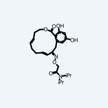 CC(C)N(C(=O)CO/N=C1\C=C\CC/C=C/CCOC(=O)c2c(O)cc(O)cc2C1)C(C)C